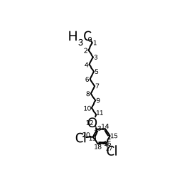 CCCCCCCCCCCCOc1c[c]c(Cl)cc1Cl